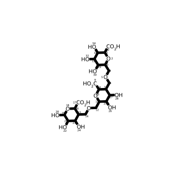 O=C(O)C1OC(COCC2C(C(=O)O)OC(COCC3C(C(=O)O)OC(O)C(O)C3O)C(O)C2O)C(O)C(O)C1O